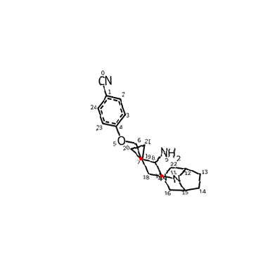 N#Cc1ccc(OCCC(N)CN2C3CCC2CN(CC2CC2)C3)cc1